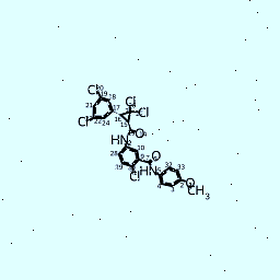 COc1ccc(NC(=O)c2cc(NC(=O)[C@H]3[C@H](c4cc(Cl)cc(Cl)c4)C3(Cl)Cl)ccc2Cl)cc1